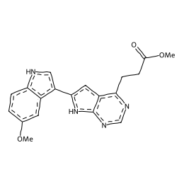 COC(=O)CCc1ncnc2[nH]c(-c3c[nH]c4ccc(OC)cc34)cc12